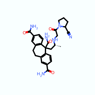 C[C@H](CC1(C(N)=O)c2ccc(C(N)=O)cc2CCc2cc(C(N)=O)ccc21)NCC(=O)N1CCCC1C#N